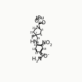 CC(C)(C)OC(=O)N1CCC(F)(CNc2ccc([S+](N)[O-])cc2[N+](=O)[O-])CC1